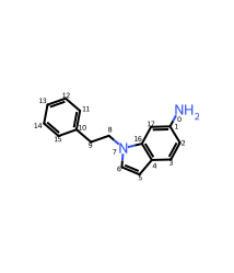 Nc1ccc2ccn(CCc3ccccc3)c2c1